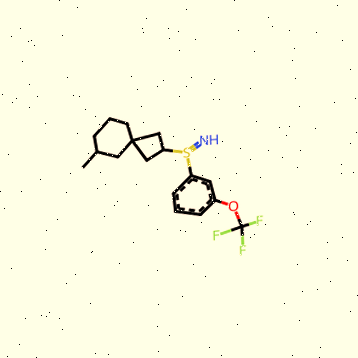 CC1CCCC2(C1)CC(S(=N)c1cccc(OC(F)(F)F)c1)C2